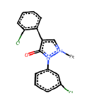 CCn1cc(-c2ccccc2Cl)c(=O)n1-c1cccc(Cl)c1